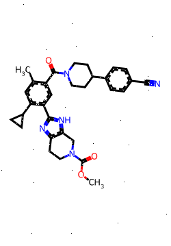 COC(=O)N1CCc2nc(-c3cc(C(=O)N4CCC(c5ccc(C#N)cc5)CC4)c(C)cc3C3CC3)[nH]c2C1